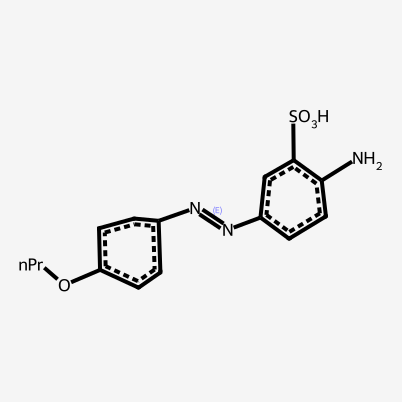 CCCOc1ccc(/N=N/c2ccc(N)c(S(=O)(=O)O)c2)cc1